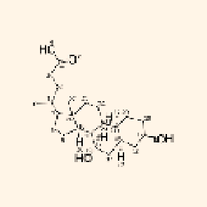 CC(CCC(=O)O)C1CC[C@H]2[C@@H]3[C@@H](O)C[C@@H]4C[C@H](O)CC[C@]4(C)[C@H]3CCC12C